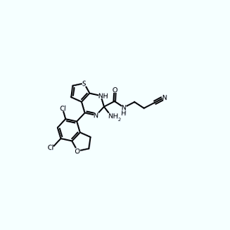 N#CCCNC(=O)C1(N)N=C(c2c(Cl)cc(Cl)c3c2CCO3)c2ccsc2N1